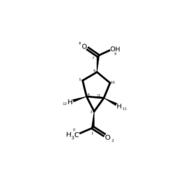 CC(=O)[C@H]1[C@@H]2C[C@@H](C(=O)O)C[C@@H]21